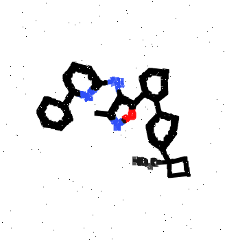 Cc1noc(-c2ccccc2-c2ccc(C3(C(=O)O)CCC3)cc2)c1Nc1cccc(-c2ccccc2)n1